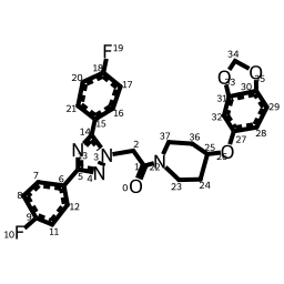 O=C(Cn1nc(-c2ccc(F)cc2)nc1-c1ccc(F)cc1)N1CCC(Oc2ccc3c(c2)OCO3)CC1